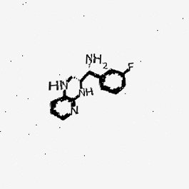 N[C@H](c1cccc(F)c1)[C@H]1CNc2cccnc2N1